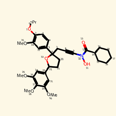 CCCOc1ccc(C2(CC#CN(O)C(=O)C3CCCCC3)CCC(c3cc(OC)c(OC)c(OC)c3)O2)cc1OC